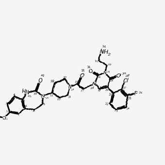 COc1ccc2c(c1)CCN(C1CCN(C(=O)Cn3cc(-c4cccc(F)c4Cl)c(=O)n(CCN)c3=O)CC1)C(=O)N2